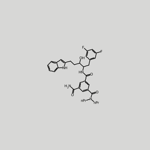 CCCN(CCC)C(=O)c1cc(C(N)=O)cc(C(=O)NC(Cc2cc(F)cc(F)c2)C(O)CCc2cc3ccccc3[nH]2)c1